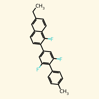 CCc1ccc2c(F)c(-c3cc(F)c(-c4ccc(C)cc4)c(F)c3)ccc2c1